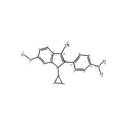 CCOc1ccc2c(c1)C(C1CC1)C(c1ccc(N(CC)CC)cc1)=C2C#N